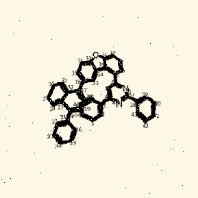 c1ccc(-c2cc(-c3cccc4oc5ccc(-c6ccc(-c7ccccc7)c7ccccc67)cc5c34)nc(-c3ccccc3)n2)cc1